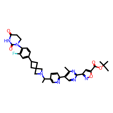 Cc1nc(-c2cc(C(=O)OC(C)(C)C)on2)ncc1-c1ccc(C(C)N2CC3(CC(c4ccc(N5CCC(=O)NC5=O)c(F)c4)C3)C2)cn1